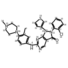 Cc1cc(Nc2ncc3c(=O)n(-c4ccccc4Cl)n(-c4ccsc4)c3n2)ccc1N1CCN(C)CC1